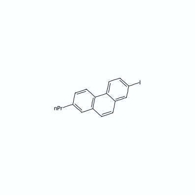 CCCc1ccc2c(ccc3cc(I)ccc32)c1